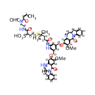 C/C=C\C(=O)N(C=O)CCNC(=O)C(CCSSC(C)(C)CCC(=O)Nc1cc(COc2cc3c(cc2OC)C(=O)N2c4ccccc4CC2C=N3)cc(COc2cc3c(cc2OC)C(=O)N2c4ccccc4C[C@H]2CN3)c1)S(=O)(=O)O